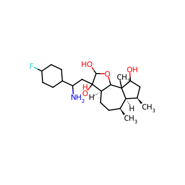 C[C@@H]1CC(O)C2(C)C3OC(O)C(O)(CC(N)C4CCC(F)CC4)[C@@H]3CC[C@H](C)[C@H]12